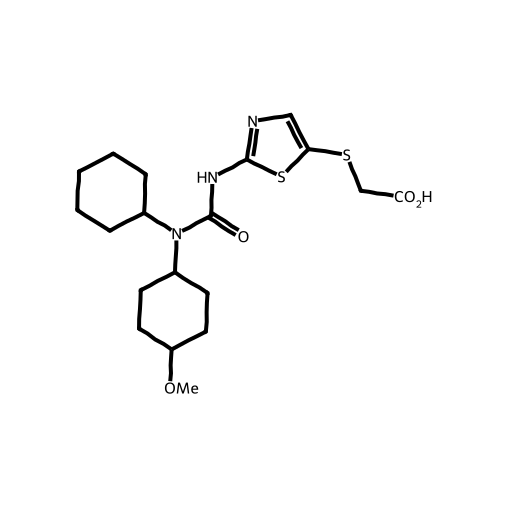 COC1CCC(N(C(=O)Nc2ncc(SCC(=O)O)s2)C2CCCCC2)CC1